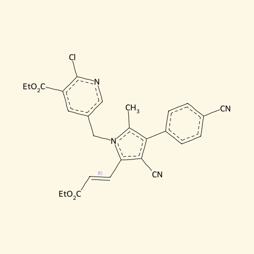 CCOC(=O)/C=C/c1c(C#N)c(-c2ccc(C#N)cc2)c(C)n1Cc1cnc(Cl)c(C(=O)OCC)c1